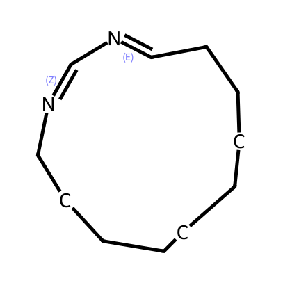 C1=N\CCCCCCCCC/C=N/1